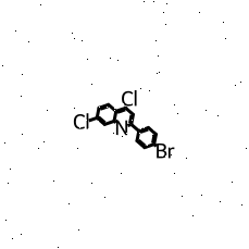 Clc1ccc2c(Cl)cc(-c3ccc(Br)cc3)nc2c1